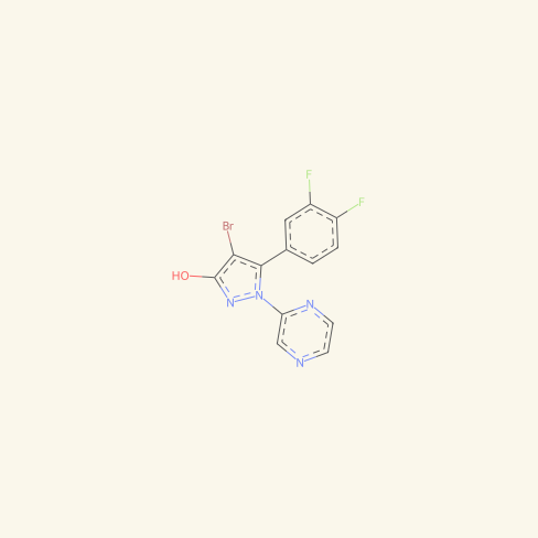 Oc1nn(-c2cnccn2)c(-c2ccc(F)c(F)c2)c1Br